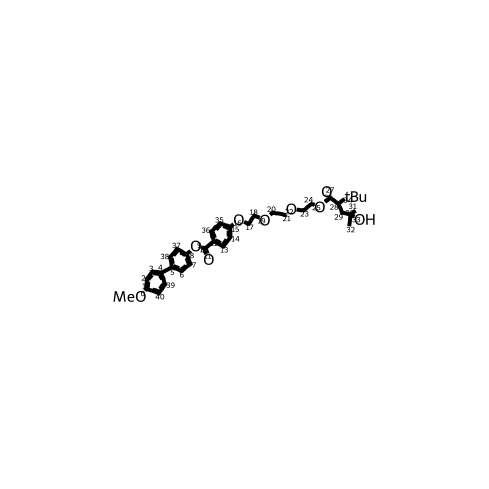 COc1ccc(-c2ccc(OC(=O)c3ccc(OCCOCCOCCOC(=O)C(CC(C)(C)O)C(C)(C)C)cc3)cc2)cc1